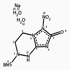 CSN1CCn2c(nc(=O)n2[N+](=O)[O-])N1.O.O.[Na]